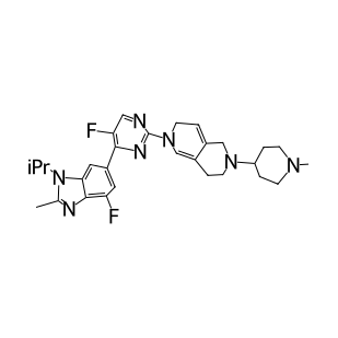 Cc1nc2c(F)cc(-c3nc(N4C=C5CCN(C6CCN(C)CC6)CC5=CC4)ncc3F)cc2n1C(C)C